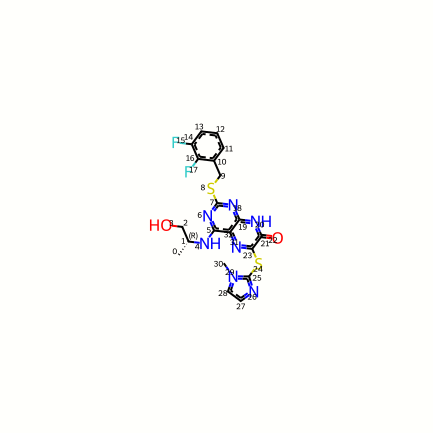 C[C@H](CO)Nc1nc(SCc2cccc(F)c2F)nc2[nH]c(=O)c(Sc3nccn3C)nc12